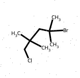 CC(C)(Br)CC(C)(C)CCl